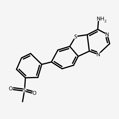 CS(=O)(=O)c1cccc(-c2ccc3c(c2)sc2c(N)ncnc23)c1